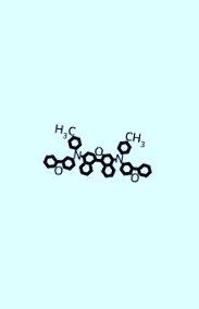 Cc1ccc(N(c2ccc3oc4ccccc4c3c2)c2cc3oc4cc(N(c5ccc(C)cc5)c5ccc6oc7ccccc7c6c5)c5ccccc5c4c3c3ccccc23)cc1